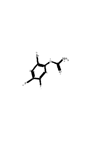 NC(=O)Oc1cc(F)c(F)cc1Br